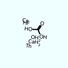 F.O.O=C(O)O.[CaH2].[Ce].[Th]